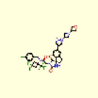 O=C1N[C@]2(CCc3cc(-c4cnn(C5CN(C6COC6)C5)c4)ccc32)C(=O)N1CC(=O)N(Cc1ccc(F)cc1)C1(C(F)(F)F)CC(F)(F)C1